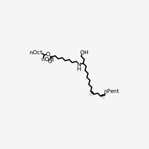 CCCCC/C=C\C/C=C\CCCCCCCC(CCO)NCCCCCCCC(=O)OC(CCCCCCCC)CCCCCCCC